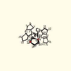 ClC([PH](C1CCCC1)(C1CCCC1)C1CCCC1)[PH](C1CCCC1)(C1CCCC1)C1CCCC1